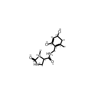 CC1=C(CNC(=O)C2CNC(=O)N2C)C(Cl)=CC(Cl)C1